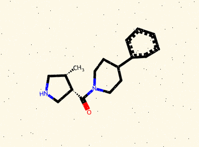 C[C@H]1CNC[C@H]1C(=O)N1CCC(c2ccccc2)CC1